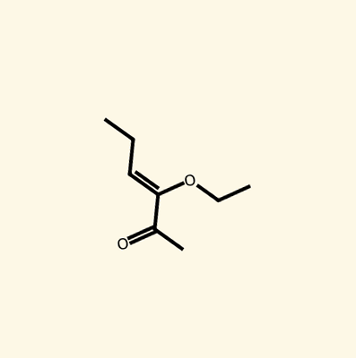 CCC=C(OCC)C(C)=O